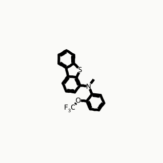 CN(c1ccccc1OC(F)(F)F)c1cccc2c1sc1ccccc12